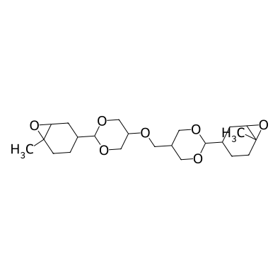 CC12CCC(C3OCC(COC4COC(C5CCC6(C)OC6C5)OC4)CO3)CC1O2